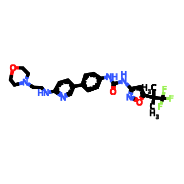 CC(C)(c1cc(NC(=O)Nc2ccc(-c3ccc(NCCN4CCOCC4)nc3)cc2)no1)C(F)(F)F